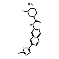 Cc1ncc(-c2cnc3cnc(NC(=O)N4CC[C@@H](N)[C@H](F)C4)cc3c2)o1